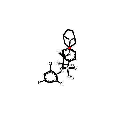 CC(C)(Oc1c(Cl)cc(F)cc1Cl)C(=O)NC1CC2CCC(C1)N2c1ccc(S(C)(=O)=O)cc1